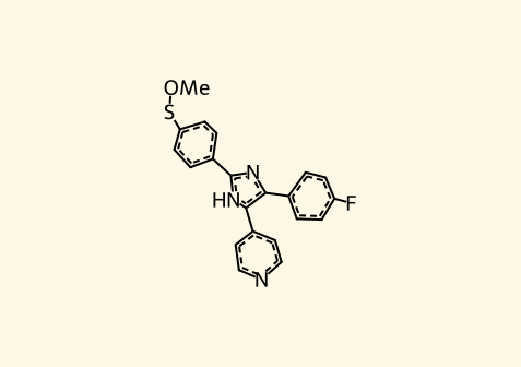 COSc1ccc(-c2nc(-c3ccc(F)cc3)c(-c3ccncc3)[nH]2)cc1